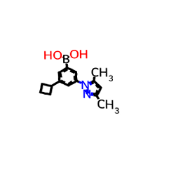 Cc1cc(C)n(-c2cc(B(O)O)cc(C3CCC3)c2)n1